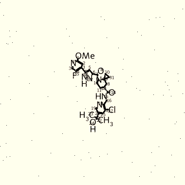 COc1cc(-c2cc(C(=O)N3CC[C@H](C(=O)NCc4ncc(C(C)(C)O)cc4Cl)CC34CC4)n[nH]2)c(F)cn1